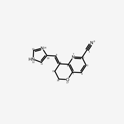 N#Cc1ccc2c(n1)/C(=C/c1c[nH]cn1)CCO2